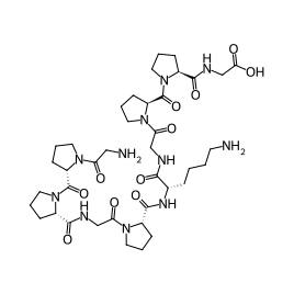 NCCCC[C@H](NC(=O)[C@@H]1CCCN1C(=O)CNC(=O)[C@@H]1CCCN1C(=O)[C@@H]1CCCN1C(=O)CN)C(=O)NCC(=O)N1CCC[C@H]1C(=O)N1CCC[C@H]1C(=O)NCC(=O)O